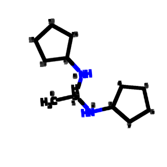 C[SiH](NC1CCCC1)NC1CCCC1